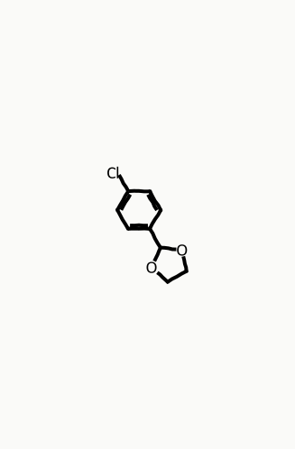 Clc1ccc(C2OCCO2)cc1